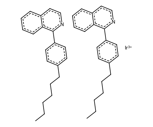 CCCCCCc1ccc(-c2nccc3ccccc23)cc1.CCCCCCc1ccc(-c2nccc3ccccc23)cc1.[Ir+3]